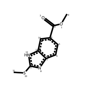 COC(=O)c1ccc2nc(SC)[nH]c2c1